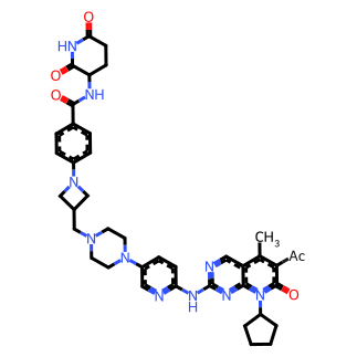 CC(=O)c1c(C)c2cnc(Nc3ccc(N4CCN(CC5CN(c6ccc(C(=O)NC7CCC(=O)NC7=O)cc6)C5)CC4)cn3)nc2n(C2CCCC2)c1=O